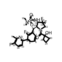 Cc1nc(-c2cccc(C[C@H]3[C@@H](NS(=O)(=O)N(C)C)C(F)(F)CN3C(=O)C3(O)CCC3)c2F)ccc1F